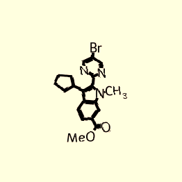 COC(=O)c1ccc2c(C3CCCC3)c(-c3ncc(Br)cn3)n(C)c2c1